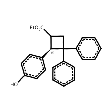 CCOC(=O)C1CC(c2ccccc2)(c2ccccc2)[C@H]1c1ccc(O)cc1